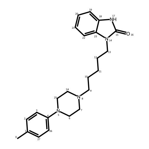 Cc1ccc(N2CCN(CCCCCn3c(=O)[nH]c4ccccc43)CC2)cc1